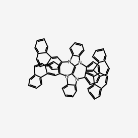 c1ccc2c(c1)N(c1ccc3ccc4ccccc4c3c1)C(=C1N(c3ccc4ccc5ccccc5c4c3)c3ccccc3N1c1ccc3ccc4ccccc4c3c1)N2c1ccc2ccc3ccccc3c2c1